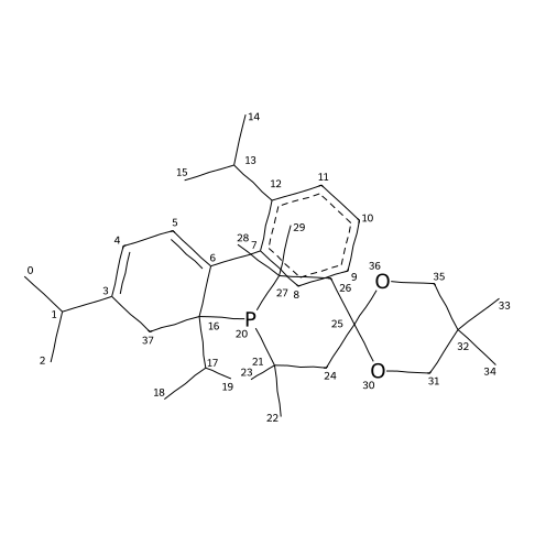 CC(C)C1=CC=C(c2ccccc2C(C)C)C(C(C)C)(P2C(C)(C)CC3(CC2(C)C)OCC(C)(C)CO3)C1